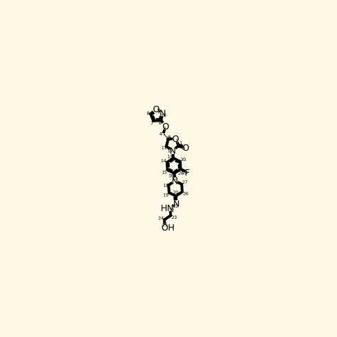 O=C1O[C@@H](COc2ccon2)CN1c1ccc(N2CCC(=NNCCO)CC2)c(F)c1